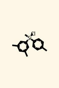 Cc1ccc([Si](C)(Cl)c2cc(C)cc(C)c2)cc1